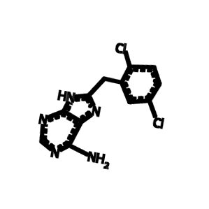 Nc1ncnc2[nH]c(Cc3cc(Cl)ccc3Cl)nc12